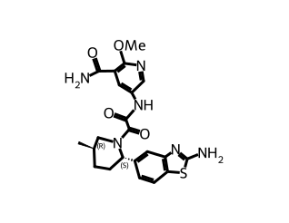 COc1ncc(NC(=O)C(=O)N2C[C@H](C)CC[C@H]2c2ccc3sc(N)nc3c2)cc1C(N)=O